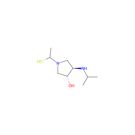 CC(C)N[C@@H]1CN(C(C)S)C[C@H]1O